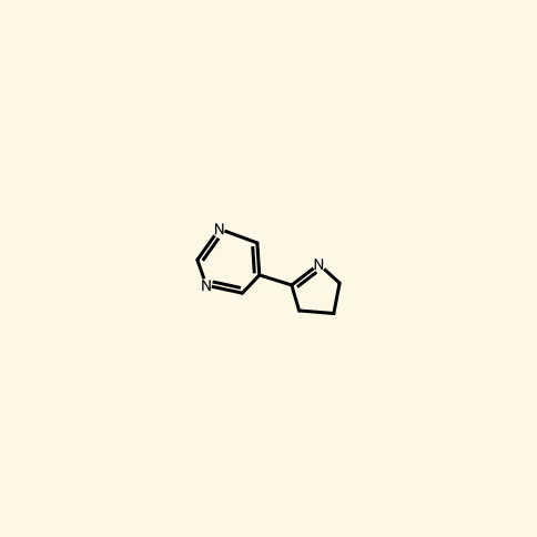 c1ncc(C2=NCCC2)cn1